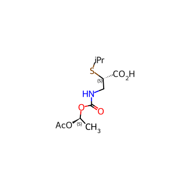 CC(=O)O[C@H](C)OC(=O)NC[C@H](SC(C)C)C(=O)O